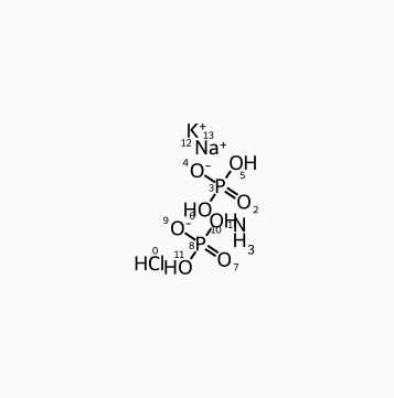 Cl.N.O=P([O-])(O)O.O=P([O-])(O)O.[K+].[Na+]